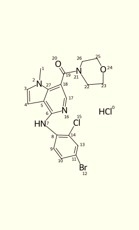 Cl.Cn1ccc2c(Nc3ccc(Br)cc3Cl)ncc(C(=O)N3CCOCC3)c21